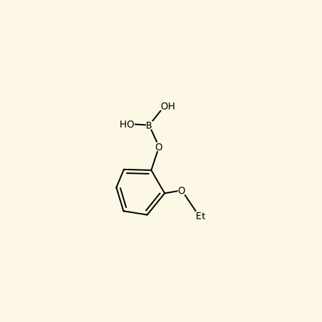 CCOc1ccccc1OB(O)O